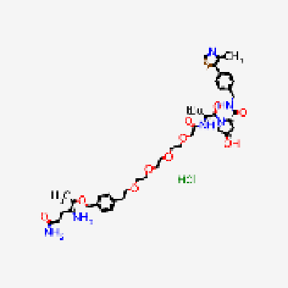 Cc1ncsc1-c1ccc(CNC(=O)[C@@H]2C[C@@H](O)CN2C(=O)[C@@H](NC(=O)COCCOCCOCCOCCc2ccc(CO[C@H](C)[C@@H](N)CCC(N)=O)cc2)C(C)(C)C)cc1.Cl